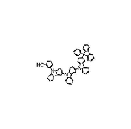 N#Cc1cccc(-n2c3ccccc3c3cc(-n4c5ccccc5c5cc(-n6c7ccccc7c7cc(C8(c9ccccc9)c9ccccc9-c9ccccc98)ccc76)ccc54)ccc32)c1